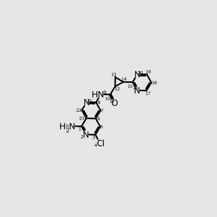 Nc1nc(Cl)cc2cc(NC(=O)C3CC3c3ncccn3)ncc12